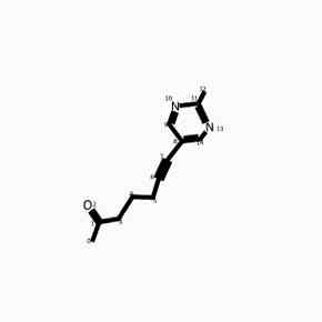 CC(=O)CCCC#Cc1cnc(C)nc1